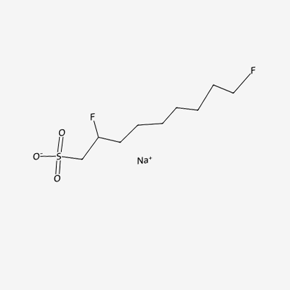 O=S(=O)([O-])CC(F)CCCCCCCF.[Na+]